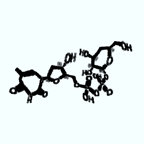 Cc1cn([C@H]2C[C@H](O)[C@@H](COP(=O)(O)OP(=O)(O)O[C@H]3O[C@H](CO)C[C@H](O)[C@H]3O)O2)c(=O)[nH]c1=O